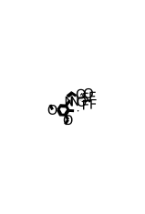 [CH2]c1c(OC)cc(OC)cc1-n1ccc(OS(=O)(=O)C(F)(F)F)n1